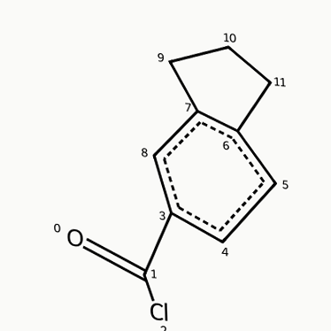 O=C(Cl)c1ccc2c(c1)CCC2